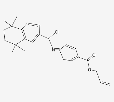 C=CCOC(=O)C1=CCC(=NC(Cl)c2ccc3c(c2)C(C)(C)CCC3(C)C)C=C1